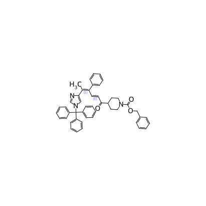 C/C(=C(/C=C/C(=O)C1CCN(C(=O)OCc2ccccc2)CC1)c1ccccc1)c1cn(C(c2ccccc2)(c2ccccc2)c2ccccc2)cn1